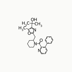 Cc1oc(CC2CCCCN2C(=O)c2ncccc2-c2ccccc2)nc1C(C)(C)O